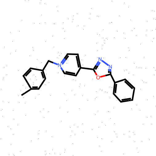 Cc1ccc(C[n+]2ccc(-c3nnc(-c4ccccc4)o3)cc2)cc1